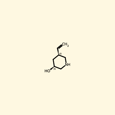 C=C[C@H]1CNC[C@@H](O)C1